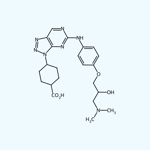 CN(C)CC(O)COc1ccc(Nc2ncc3nnn(C4CCC(C(=O)O)CC4)c3n2)cc1